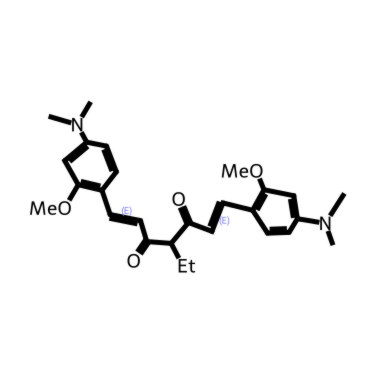 CCC(C(=O)/C=C/c1ccc(N(C)C)cc1OC)C(=O)/C=C/c1ccc(N(C)C)cc1OC